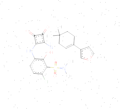 CN(C)S(=O)(=O)c1c(Cl)ccc(Nc2c(N[C@H]3C=C(c4ccoc4)CCC3(C)C)c(=O)c2=O)c1O